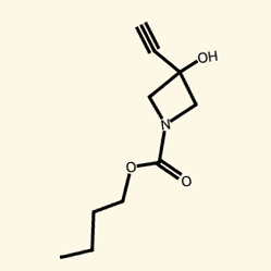 C#CC1(O)CN(C(=O)OCCCC)C1